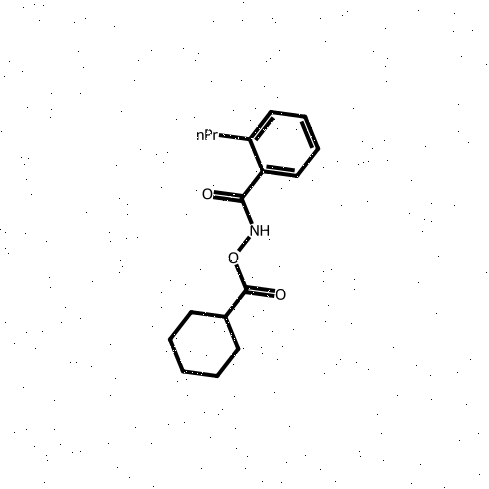 CCCc1ccccc1C(=O)NOC(=O)C1CCCCC1